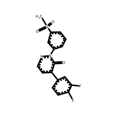 CS(=O)(=O)c1cccc(-n2nccc(-c3ccc(F)c(F)c3)c2=O)c1